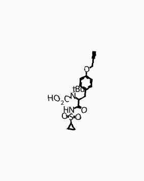 C#CCOc1ccc(CC(C(=O)NS(=O)(=O)C2CC2)N(C(=O)O)C(C)(C)C)cc1